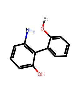 CCOc1ccccc1-c1c(N)cccc1O